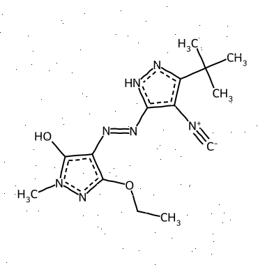 [C-]#[N+]c1c(C(C)(C)C)n[nH]c1/N=N/c1c(OCC)nn(C)c1O